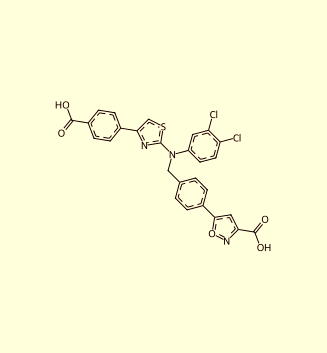 O=C(O)c1ccc(-c2csc(N(Cc3ccc(-c4cc(C(=O)O)no4)cc3)c3ccc(Cl)c(Cl)c3)n2)cc1